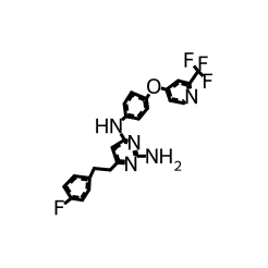 Nc1nc(CCc2ccc(F)cc2)cc(Nc2ccc(Oc3ccnc(C(F)(F)F)c3)cc2)n1